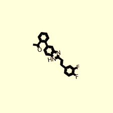 CC(=O)c1ccccc1-c1ccc2[nH]c(/C=C/c3ccc(F)c(F)c3)nc2c1